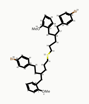 COc1ccccc1CC(CCCSCCCC(CCc1ccc(Br)cc1)Cc1ccccc1OC)CCc1ccc(Br)cc1